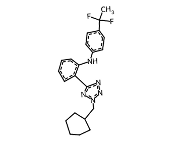 CC(F)(F)c1ccc(Nc2ccccc2-c2nnn(CC3CCCCC3)n2)cc1